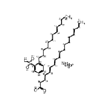 CCCCCCCCCCCCCCCCCC(=O)[O-].CCCCCCCCCCCCc1ccccc1S(=O)(=O)[O-].[Na+].[Na+]